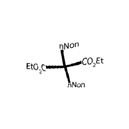 CCCCCCCCCC(CCCCCCCCC)(C(=O)OCC)C(=O)OCC